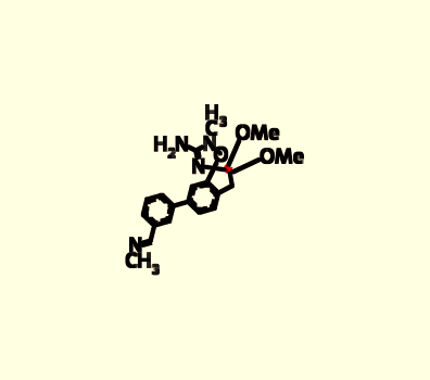 C/N=C/c1cccc(-c2ccc3c(c2)C2(N=C(N)N(C)O2)C2(C3)CC(OC)C(OC)C2)c1